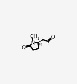 CN1C(=O)CC[C@@H]1C[C]=O